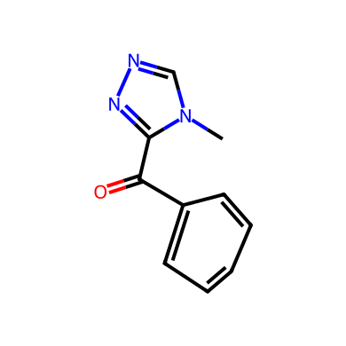 Cn1cnnc1C(=O)c1ccccc1